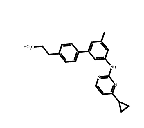 Cc1cc(Nc2nccc(C3CC3)n2)cc(-c2ccc(CCC(=O)O)cc2)c1